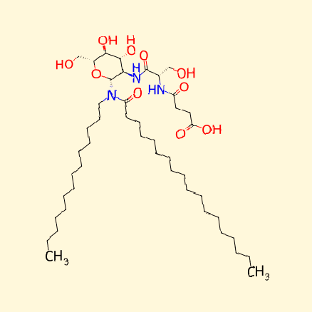 CCCCCCCCCCCCCCCCCC(=O)N(CCCCCCCCCCCCCC)[C@@H]1O[C@H](CO)[C@@H](O)[C@H](O)[C@H]1NC(=O)[C@H](CO)NC(=O)CCC(=O)O